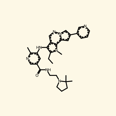 CCc1c(Nc2cc(C(=O)NCCN3CCCC3(C)C)cnc2C)c2cnn3cc(-c4cccnc4)cc3c2n1C